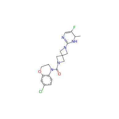 CC1NC(N2CC3(CN(C(=O)N4CCOc5cc(Cl)ccc54)C3)C2)=NC=C1F